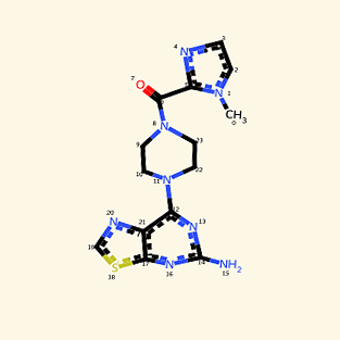 Cn1ccnc1C(=O)N1CCN(c2nc(N)nc3scnc23)CC1